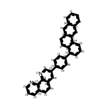 c1ccc2cc3c(ccc4c(-c5ccc(-c6cnc7c(ccc8cccnc87)c6)cc5)cccc43)cc2c1